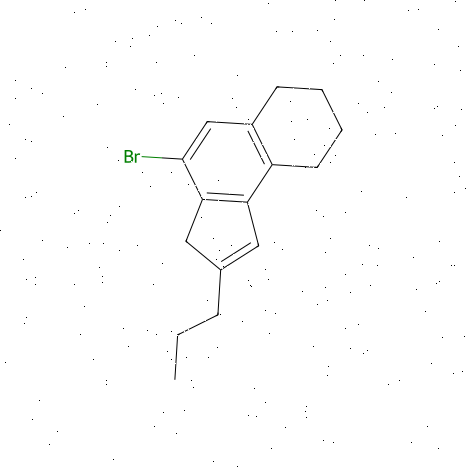 CCCC1=Cc2c(c(Br)cc3c2CCCC3)C1